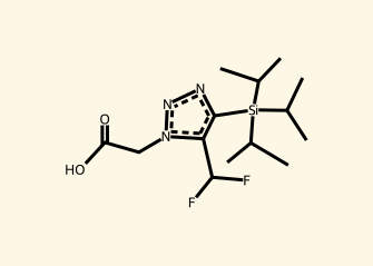 CC(C)[Si](c1nnn(CC(=O)O)c1C(F)F)(C(C)C)C(C)C